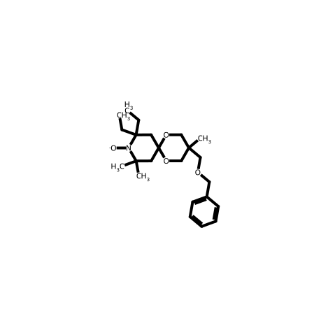 CCC1(CC)CC2(CC(C)(C)N1[O])OCC(C)(COCc1ccccc1)CO2